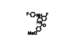 COc1ccc(C(=O)N2c3ccc(F)cc3[C@H](Nc3ccc(F)cc3)C[C@H]2C)cc1